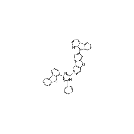 c1ccc(-c2nc(-c3ccc4oc5cc(-n6c7ccccc7c7cccnc76)ccc5c4c3)nc(-c3cccc4c3sc3ccccc34)n2)cc1